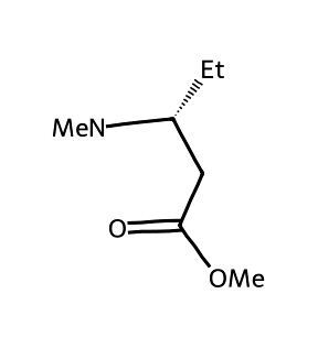 CC[C@H](CC(=O)OC)NC